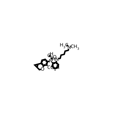 CN(C)CCCCCNc1ccccc1N(c1ccc2c(c1C(=O)O)OCC1CC21)[SH](=O)=O